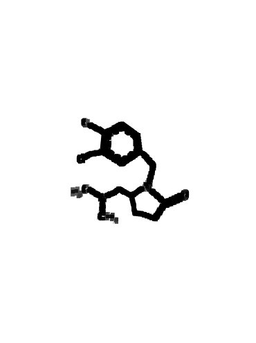 CN(C)CC1CCC(=O)N1Cc1ccc(Cl)c(Cl)c1